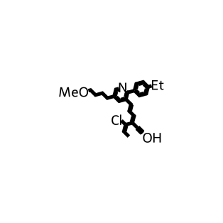 C\C=C(Cl)/C(C#CO)=C\C=C\c1cc(CCCCOC)cnc1-c1ccc(CC)cc1